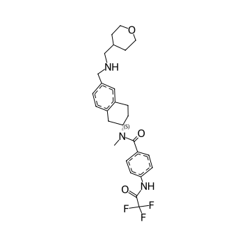 CN(C(=O)c1ccc(NC(=O)C(F)(F)F)cc1)[C@H]1CCc2cc(CNCC3CCOCC3)ccc2C1